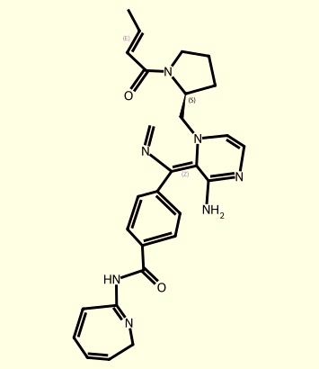 C=N/C(=C1/C(N)=NC=CN1C[C@@H]1CCCN1C(=O)/C=C/C)c1ccc(C(=O)NC2=NCC=CC=C2)cc1